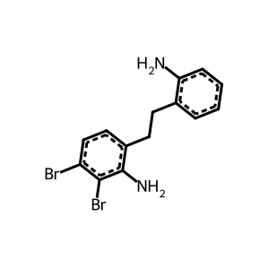 Nc1ccccc1CCc1ccc(Br)c(Br)c1N